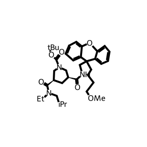 CCN(CC(C)C)C(=O)[C@@H]1C[C@H](C(=O)NCC2(CCCCOC)c3ccccc3Oc3ccccc32)CN(C(=O)OC(C)(C)C)C1